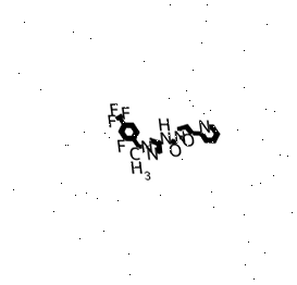 CC(c1ccc(C(F)(F)F)cc1F)n1cc(NC(=O)N2CC=C(c3ccccn3)O2)cn1